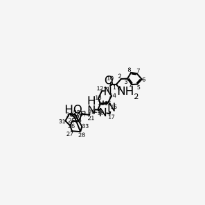 NC(Cc1ccccc1)C(=O)N1CCc2c(ncnc2NC[C@@H](O)C23CC4CC(CC(C4)C2)C3)C1